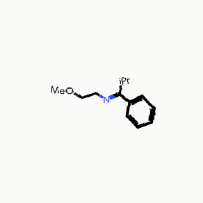 COCCN=C(c1ccccc1)C(C)C